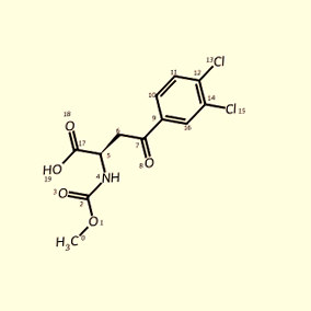 COC(=O)N[C@H](CC(=O)c1ccc(Cl)c(Cl)c1)C(=O)O